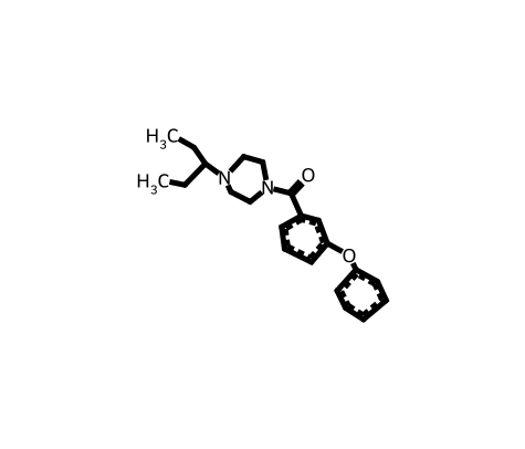 CCC(CC)N1CCN(C(=O)c2cccc(Oc3ccccc3)c2)CC1